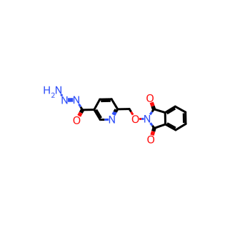 NN=NC(=O)c1ccc(CON2C(=O)c3ccccc3C2=O)nc1